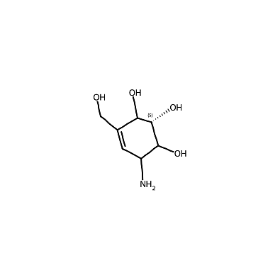 NC1C=C(CO)C(O)[C@H](O)C1O